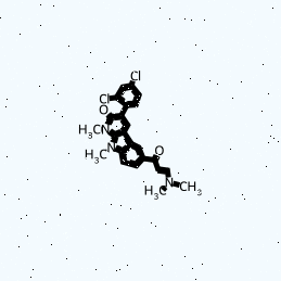 CN(C)C=CC(=O)c1ccc2c(c1)c1cc(-c3ccc(Cl)cc3Cl)c(=O)n(C)c1n2C